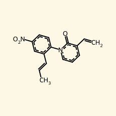 C=Cc1cccn(-c2ccc([N+](=O)[O-])cc2C=CC)c1=O